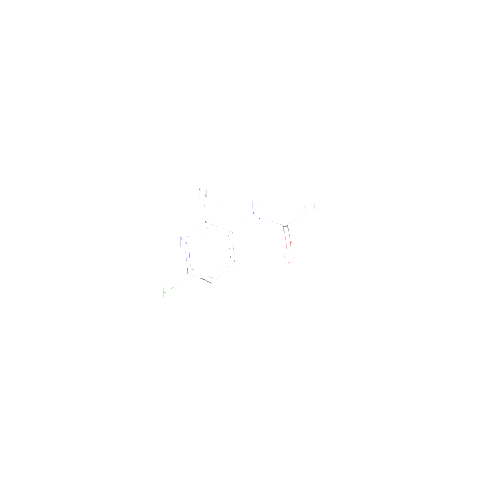 O=C(Nc1ccc(F)nc1[N+](=O)[O-])C(F)(F)F